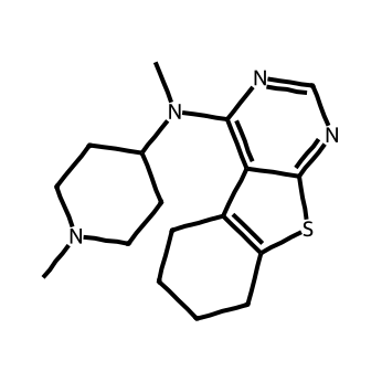 CN1CCC(N(C)c2ncnc3sc4c(c23)CCCC4)CC1